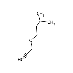 C#CCOCCC(C)C